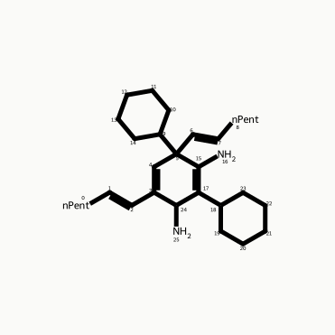 CCCCC/C=C/C1=CC(/C=C/CCCCC)(C2CCCCC2)C(N)=C(C2CCCCC2)C1N